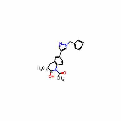 CC(=O)N1c2ccc(-c3cnn(Cc4ccccc4)c3)cc2C[C@@H](C)[C@@H]1O